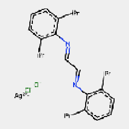 CC(C)c1cccc(C(C)C)c1N=CC=Nc1c(C(C)C)cccc1C(C)C.[Ag+2].[Cl-].[Cl-]